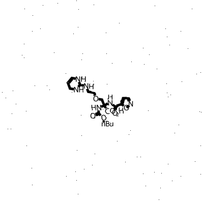 CCCCOC(=O)NC(COCCNC1NC=CCN1)(NC(=O)c1ccno1)C(=O)O